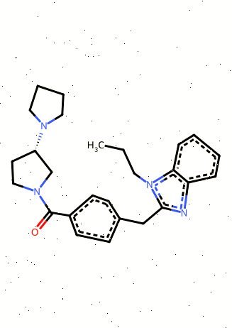 CCCn1c(Cc2ccc(C(=O)N3CC[C@H](N4CCCC4)C3)cc2)nc2ccccc21